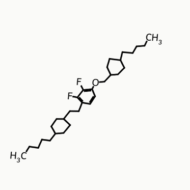 CCCCCC1CCC(CCc2ccc(OCC3CCC(CCCCC)CC3)c(F)c2F)CC1